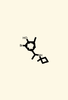 Cc1cc(C(C)NC2(C)CCC2)cc(Br)c1O